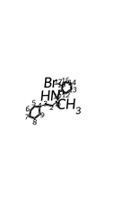 CC(C=Cc1ccccc1)Nc1ccccc1Br